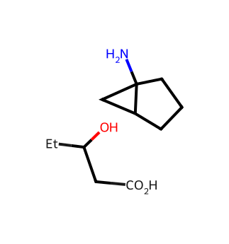 CCC(O)CC(=O)O.NC12CCCC1C2